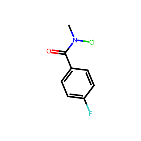 CN(Cl)C(=O)c1ccc(F)cc1